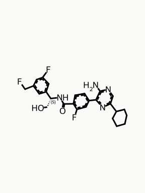 Nc1ncc(C2CCCCC2)nc1-c1ccc(C(=O)N[C@H](CO)c2cc(F)cc(CF)c2)c(F)c1